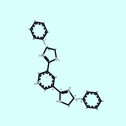 c1ccc([C@@H]2COC(c3cncc(C4=N[C@H](c5ccccc5)CO4)c3)=N2)cc1